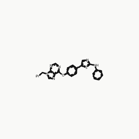 CC(C)Cn1cnc2c(Oc3ccc(-c4cnc(Nc5ccccc5)s4)cc3)ncnc21